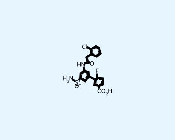 N[S+]([O-])c1cc(NC(=O)Cc2ccccc2Cl)cc(-c2cc(C(=O)O)ccc2F)c1